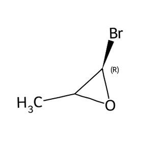 CC1O[C@@H]1Br